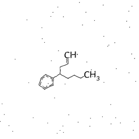 [CH]=CCC(CCCC)c1ccccc1